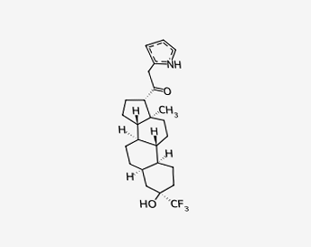 C[C@]12CC[C@H]3[C@@H](CC[C@@H]4C[C@@](O)(C(F)(F)F)CC[C@@H]43)[C@@H]1CC[C@@H]2C(=O)Cc1ccc[nH]1